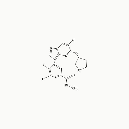 CNC(=O)c1cc(F)c(F)c(-c2cnn3cc(Cl)c(OC4CCOC4)nc23)c1